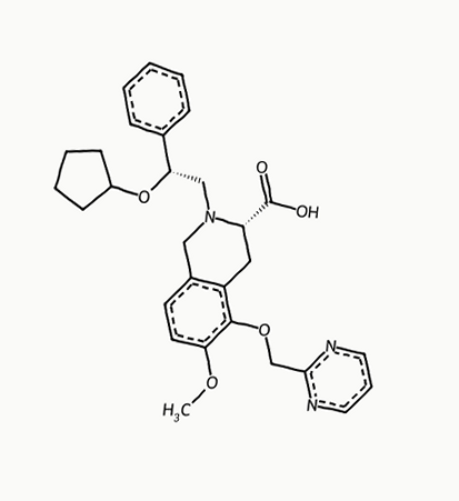 COc1ccc2c(c1OCc1ncccn1)C[C@@H](C(=O)O)N(C[C@H](OC1CCCC1)c1ccccc1)C2